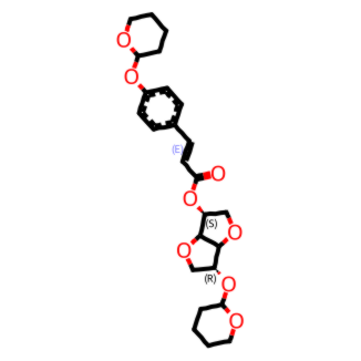 O=C(/C=C/c1ccc(OC2CCCCO2)cc1)O[C@H]1COC2C1OC[C@H]2OC1CCCCO1